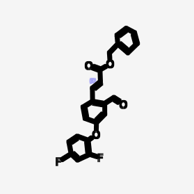 O=Cc1cc(Oc2ccc(F)cc2F)ccc1/C=C/C(=O)OCc1ccccc1